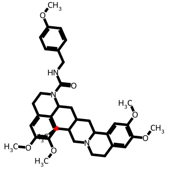 CCC1CN2CCc3cc(OC)c(OC)cc3C2CC1CC1c2cc(OC)c(OC)cc2CCN1C(=O)NCc1ccc(OC)cc1